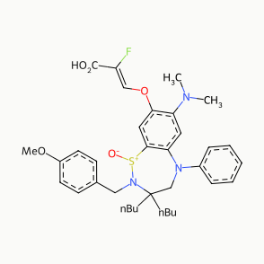 CCCCC1(CCCC)CN(c2ccccc2)c2cc(N(C)C)c(O/C=C(\F)C(=O)O)cc2[S+]([O-])N1Cc1ccc(OC)cc1